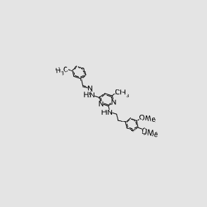 COc1ccc(CCNc2nc(C)cc(NN=Cc3cccc(C)c3)n2)cc1OC